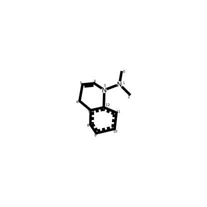 CN(C)N1C=CCc2ccccc21